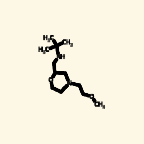 COCCN1CCOC(CNC(C)(C)C)C1